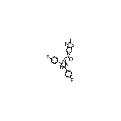 Cc1nc2c(s1)CN(C(=O)Cn1nc(-c3ccc(F)cc3)nc1-c1ccc(F)cc1)C2